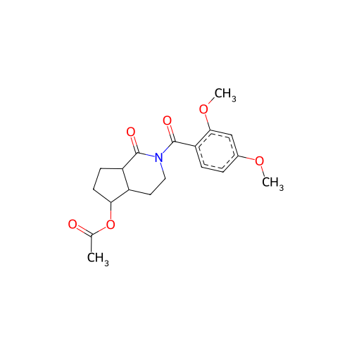 COc1ccc(C(=O)N2CCC3C(OC(C)=O)CCC3C2=O)c(OC)c1